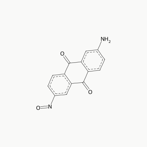 Nc1ccc2c(c1)C(=O)c1ccc(N=O)cc1C2=O